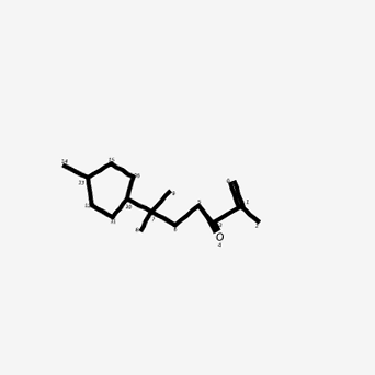 C=C(C)C(=O)CCC(C)(C)C1CCC(C)CC1